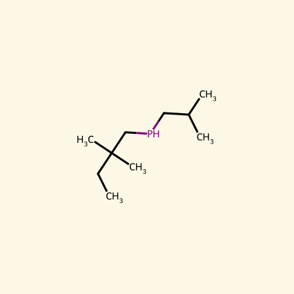 CCC(C)(C)CPCC(C)C